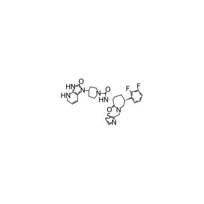 O=C(N[C@@H]1CC[C@@H](c2cccc(F)c2F)CN(Cc2nccs2)C1=O)N1CCC(n2c3c([nH]c2=O)NCC=C3)CC1